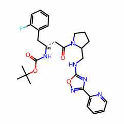 CC(C)(C)OC(=O)N[C@@H](CC(=O)N1CCCC1CNc1nc(-c2ccccn2)no1)Cc1ccccc1F